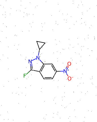 O=[N+]([O-])c1ccc2c(F)nn(C3CC3)c2c1